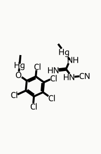 [CH3][Hg][NH]C(=N)NC#N.[CH3][Hg][O]c1c(Cl)c(Cl)c(Cl)c(Cl)c1Cl